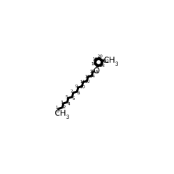 CCCCCCCCCCCCCCCCOc1cccc(C)c1